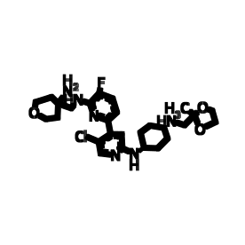 CC1(CN[C@H]2CC[C@H](Nc3cc(-c4ccc(F)c(NCC5(N)CCOCC5)n4)c(Cl)cn3)CC2)OCCO1